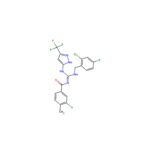 Cc1ccc(C(=O)/N=C(/NCc2ccc(F)cc2Cl)Nc2cc(C(F)(F)F)n[nH]2)cc1F